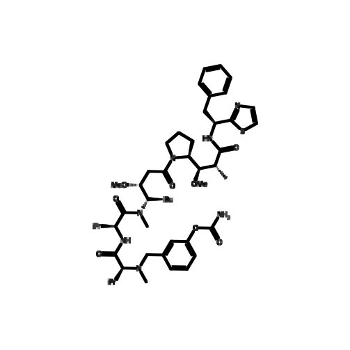 CC[C@H](C)[C@@H]([C@@H](CC(=O)N1CCC[C@H]1[C@H](OC)[C@@H](C)C(=O)N[C@@H](Cc1ccccc1)c1nccs1)OC)N(C)C(=O)[C@@H](NC(=O)[C@H](C(C)C)N(C)Cc1cccc(OC(N)=O)c1)C(C)C